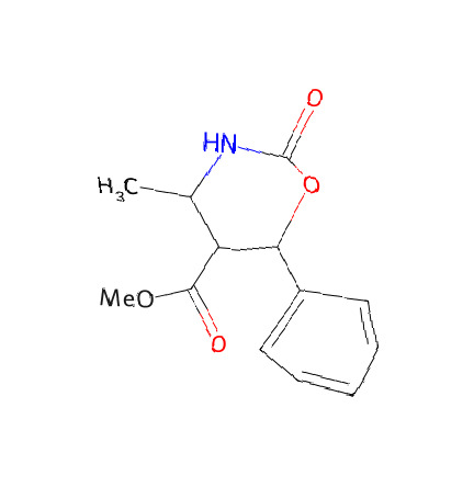 COC(=O)C1C(C)NC(=O)OC1c1ccccc1